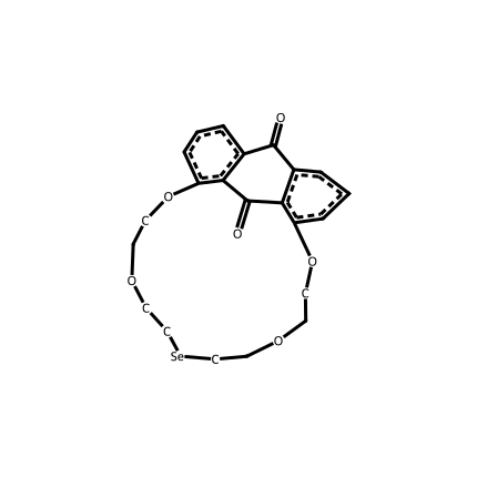 O=C1c2cccc3c2C(=O)c2c(cccc21)OCCOCC[Se]CCOCCO3